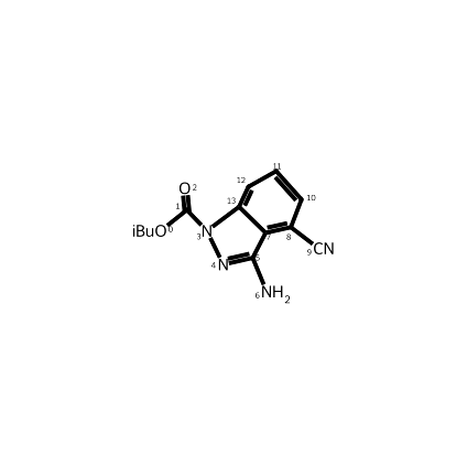 CC(C)COC(=O)n1nc(N)c2c(C#N)cccc21